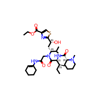 CCOC(=O)c1csc([C@H](O)C[C@H](C(C)C)N(CC(=O)NC2=CCCCC2)C(=O)[C@@H](NC(=O)[C@H]2CCCCN2C)[C@@H](C)CC)n1